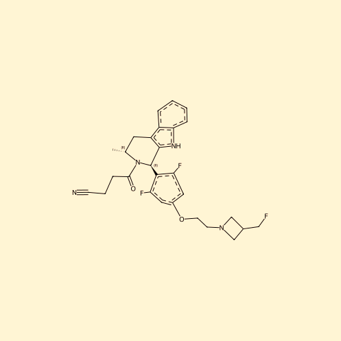 C[C@@H]1Cc2c([nH]c3ccccc23)[C@@H](c2c(F)cc(OCCN3CC(CF)C3)cc2F)N1C(=O)CCC#N